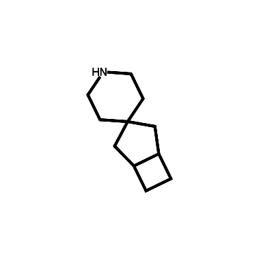 C1CC2(CCN1)CC1CCC1C2